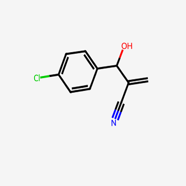 C=C(C#N)C(O)c1ccc(Cl)cc1